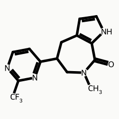 CN1CC(c2ccnc(C(F)(F)F)n2)Cc2cc[nH]c2C1=O